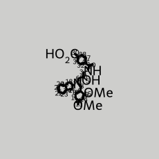 C=C(NC[C@@H](O)CN(CC1=CCC(OC)C=C1OC)C1Cc2ccccc2C1)c1ccc(C(=O)O)cc1